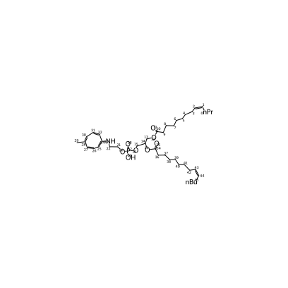 CCC/C=C\CCCCCCCC(=O)OCC(COP(=O)(O)OCCNC1=C/C=C\C(C)=C/C=C\1)OC(=O)CCCCCCC/C=C\CCCC